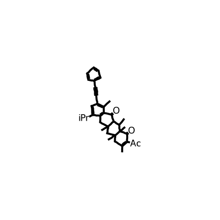 CC(=O)C1=C(C)CC2(C)CC3(C)Cc4c(C(C)C)cc(C#Cc5ccccc5)c(C)c4C(=O)C3C(C)C2(C)C1=O